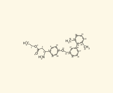 CCOC(=O)CC(N)c1ccc(OCc2cccc(-c3c(C)cccc3C)c2)cc1